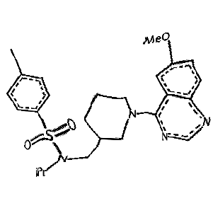 COc1ccc2ncnc(N3CCCC(CN(C(C)C)S(=O)(=O)c4ccc(C)cc4)C3)c2c1